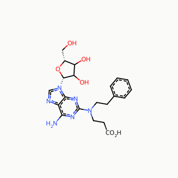 Nc1nc(N(CCC(=O)O)CCc2ccccc2)nc2c1ncn2[C@@H]1O[C@H](CO)C(O)C1O